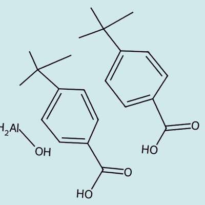 CC(C)(C)c1ccc(C(=O)O)cc1.CC(C)(C)c1ccc(C(=O)O)cc1.[OH][AlH2]